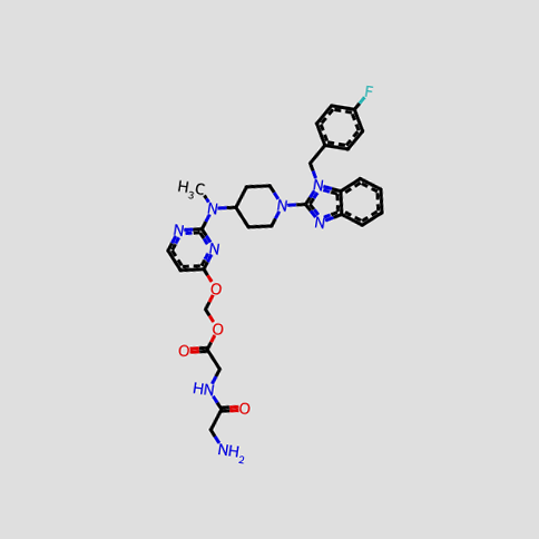 CN(c1nccc(OCOC(=O)CNC(=O)CN)n1)C1CCN(c2nc3ccccc3n2Cc2ccc(F)cc2)CC1